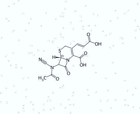 CC(=O)N(C#N)C1C(=O)N2C(C(=O)O)=C(C=CC(=O)O)CS[C@@H]12